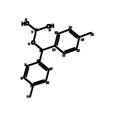 Cc1ccc(C(OP(O)O)c2ccc(C)cc2)cc1